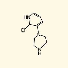 ClC1NC=CC=C1N1CCNCC1